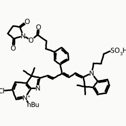 CCCC[n+]1cc(Cl)cc2c1N=C(/C=C/C(=C/C=C1/N(CCCS(=O)(=O)O)c3ccccc3C1(C)C)c1cccc(CCC(=O)ON3C(=O)CCC3=O)c1)C2(C)C